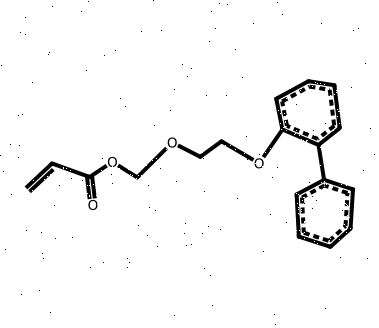 C=CC(=O)OCOCCOc1ccccc1-c1ccccc1